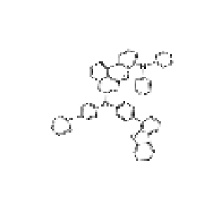 c1ccc(-c2ccc(N(c3ccc(-c4cccc5c4oc4ccccc45)cc3)c3cc4c5c(cccc5c3)-c3cccc(N(c5ccccc5)c5ccccc5)c3O4)cc2)cc1